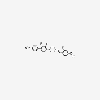 CCCc1ccc(-c2ccc(C3CCC(/C=C/c4ccc(OCC)cc4F)CC3)c(F)c2F)cc1